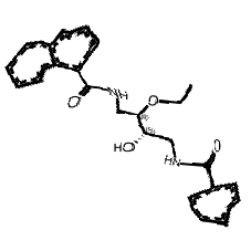 CCO[C@H](CNC(=O)c1cccc2ccccc12)[C@@H](O)CNC(=O)c1ccccc1